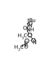 C=CC(=O)N1CCC[C@H](c2cnccc2-c2ccc(CNC(=O)c3cc(C(C)(C)C)on3)c(C)c2)C1